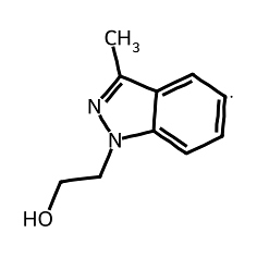 Cc1nn(CCO)c2cc[c]cc12